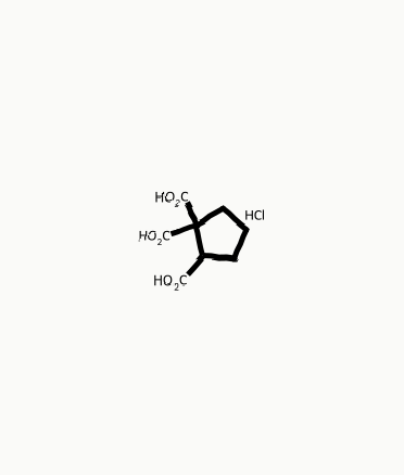 Cl.O=C(O)C1CCCC1(C(=O)O)C(=O)O